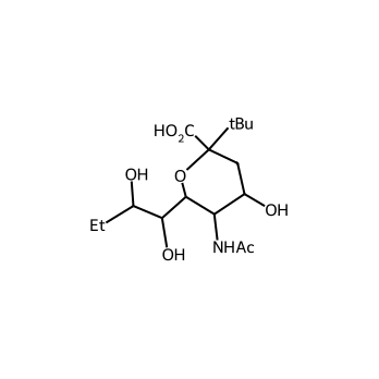 CCC(O)C(O)C1OC(C(=O)O)(C(C)(C)C)CC(O)C1NC(C)=O